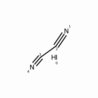 I.N#CC#N